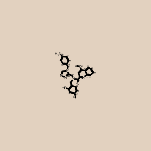 COc1cc(C(=O)N(Cc2ccc(F)cc2F)Cc2nncn2Cc2ccc(N)cc2)nc2ccccc12